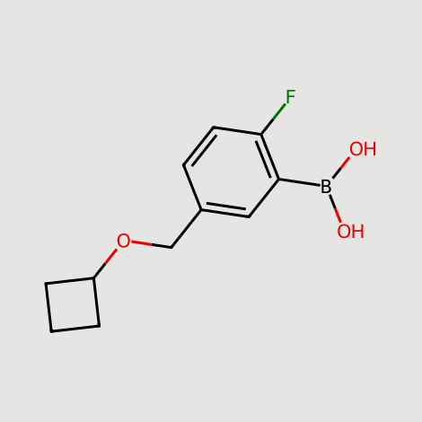 OB(O)c1cc(COC2CCC2)ccc1F